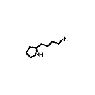 CC(C)CCCCC1CCCN1